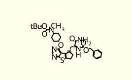 CN(C(=O)OC(C)(C)C)[C@H]1CC[C@H](Oc2ncnc3sc4c(c23)[C@@H](C[C@H](NC(=O)OCc2ccccc2)C(N)=O)CC4)CC1